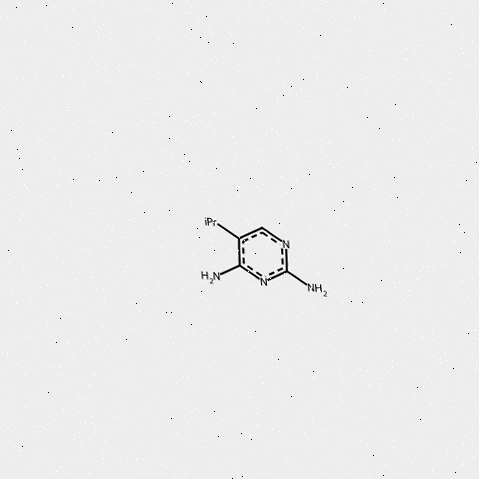 CC(C)c1cnc(N)nc1N